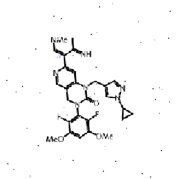 CN/C=C(\C(C)=N)c1cc2c(cn1)CN(c1c(F)c(OC)cc(OC)c1F)C(=O)N2Cc1cnn(C2CC2)c1